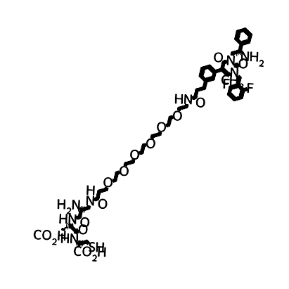 Cc1c(-c2cccc(CCC(=O)NCCOCCOCCOCCOCCOCCOCCC(=O)NC[C@H](N)C(=O)N[C@@H](CC(=O)O)C(=O)N[C@@H](CS)C(=O)O)c2)c(=O)n(C[C@H](N)c2ccccc2)c(=O)n1Cc1c(F)cccc1F